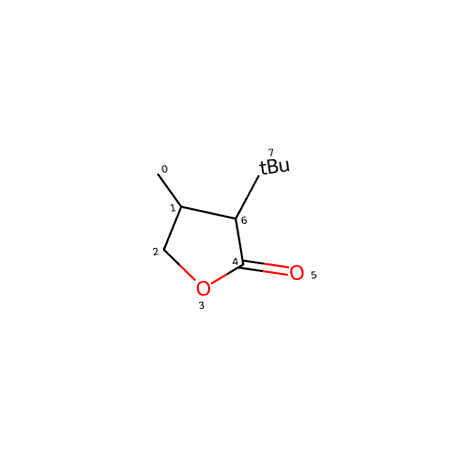 CC1COC(=O)C1C(C)(C)C